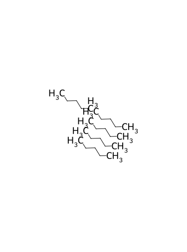 CCCCC.CCCCC.CCCCC.CCCCC.CCCCC